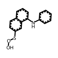 OOSc1ccc2cccc(Nc3ccccc3)c2c1